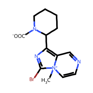 C[N+]12C=CN=CC1=C(C1CCCCN1C(=O)[O-])N=C2Br